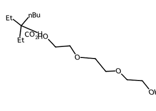 CCCCC(CC)(CC)C(=O)O.OCCOCCOCCO